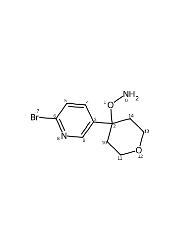 NOC1(c2ccc(Br)nc2)CCOCC1